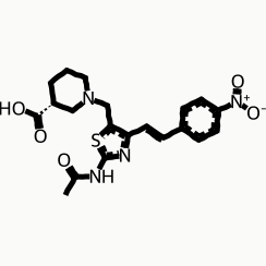 CC(=O)Nc1nc(C=Cc2ccc([N+](=O)[O-])cc2)c(CN2CCC[C@@H](C(=O)O)C2)s1